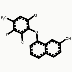 Oc1ccc2cccc(Oc3c(Cl)cc(C(F)(F)F)c(F)c3Cl)c2c1